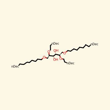 CCCCCCCCCCCCCCCCCCOC[C@@H](OCCCCCCCCCCCC)[C@@H](O)[C@H](O)[C@@H](COCCCCCCCCCCCCCCCCCC)OCCCCCCCCCCCC